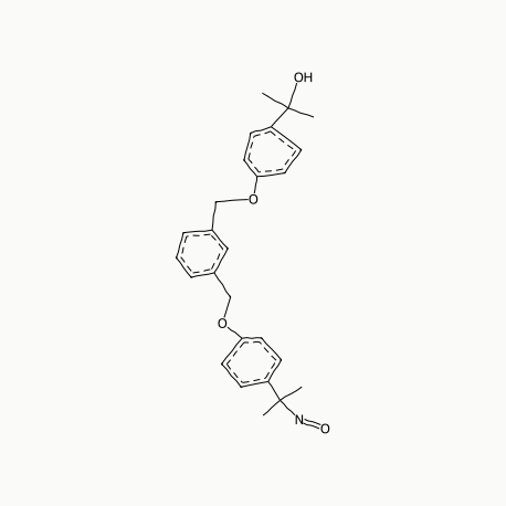 CC(C)(O)c1ccc(OCc2cccc(COc3ccc(C(C)(C)N=O)cc3)c2)cc1